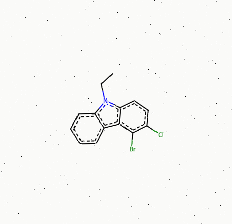 CCn1c2ccccc2c2c(Br)c(Cl)ccc21